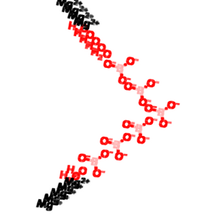 O.O.O.O.O.O.O.[Mg+2].[Mg+2].[Mg+2].[Mg+2].[Mg+2].[Mg+2].[Mg+2].[Mg+2].[Mg+2].[O-]B([O-])[O-].[O-]B([O-])[O-].[O-]B([O-])[O-].[O-]B([O-])[O-].[O-]B([O-])[O-].[O-]B([O-])[O-]